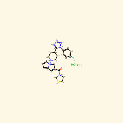 Cl.Cl.O=C(C1=CC2=CC=C[N@@+]2(N2CCC(c3nnnn3-c3ccc(F)cc3)CC2)C1)N1CCSC1